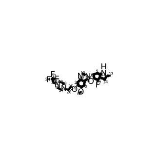 COc1cc2c(Oc3ccc4[nH]c(C)cc4c3F)ncnc2cc1OCCN1CCN(CC(F)(F)F)CC1